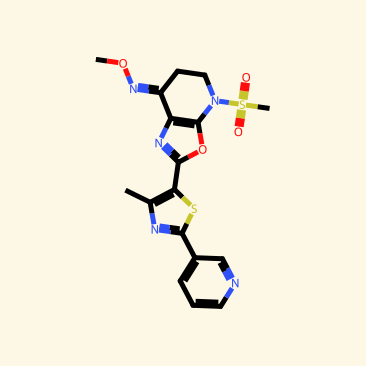 CO/N=C1\CCN(S(C)(=O)=O)c2oc(-c3sc(-c4cccnc4)nc3C)nc21